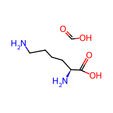 NCCCC[C@H](N)C(=O)O.O=CO